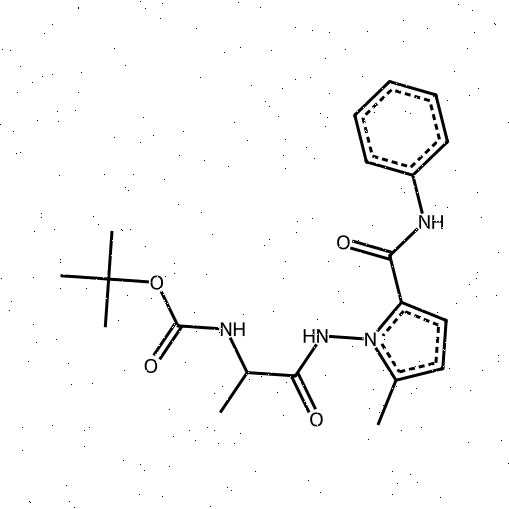 Cc1ccc(C(=O)Nc2ccccc2)n1NC(=O)C(C)NC(=O)OC(C)(C)C